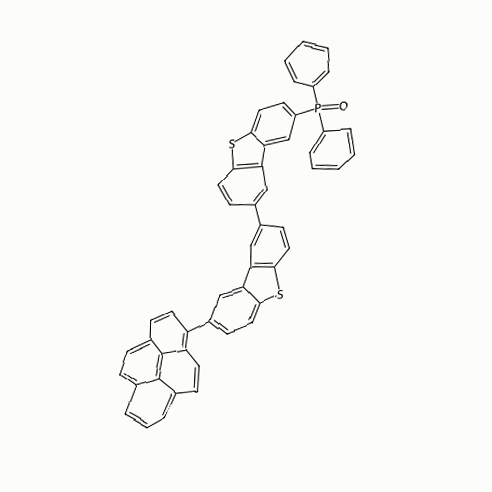 O=P(c1ccccc1)(c1ccccc1)c1ccc2sc3ccc(-c4ccc5sc6ccc(-c7ccc8ccc9cccc%10ccc7c8c9%10)cc6c5c4)cc3c2c1